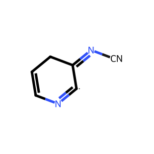 N#CN=C1[C]=NC=CC1